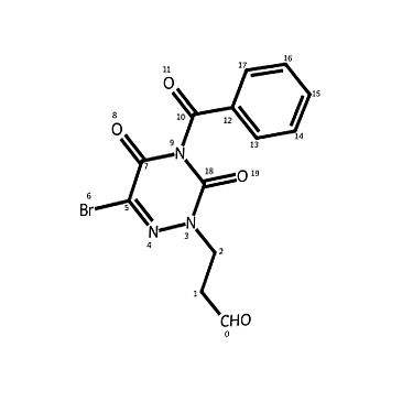 O=CCCn1nc(Br)c(=O)n(C(=O)c2ccccc2)c1=O